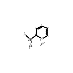 CC[SiH](CC)C1C=CC=CS1.[Hf]